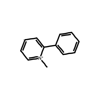 C[n+]1cc[c]cc1-c1ccccc1